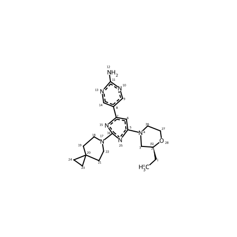 CC[C@H]1CN(c2cc(-c3cnc(N)nc3)nc(N3CCC4(CC3)CC4)n2)CCO1